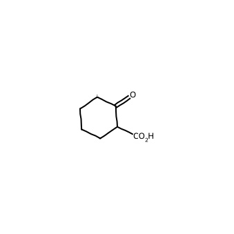 O=C(O)C1CCC[CH]C1=O